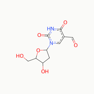 O=Cc1cn(C2CC(O)C(CO)O2)c(=O)[nH]c1=O